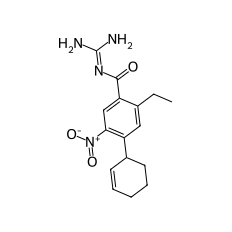 CCc1cc(C2C=CCCC2)c([N+](=O)[O-])cc1C(=O)N=C(N)N